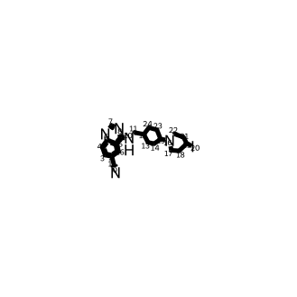 N#Cc1ccc2ncnc(NCC3CCC(N4CCC(I)CC4)CC3)c2c1